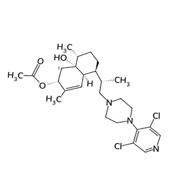 CC(=O)O[C@@H]1[C][C@@]2(O)[C@H](C)CC[C@@H]([C@H](C)CN3CCN(c4c(Cl)cncc4Cl)CC3)[C@H]2C=C1C